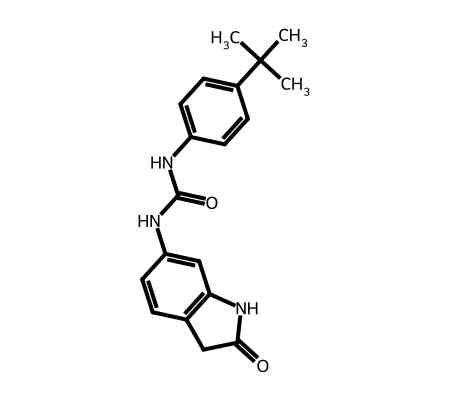 CC(C)(C)c1ccc(NC(=O)Nc2ccc3c(c2)NC(=O)C3)cc1